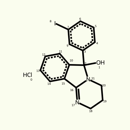 Cl.OC1(c2cccc(I)c2)c2ccccc2C2=NCCCN21